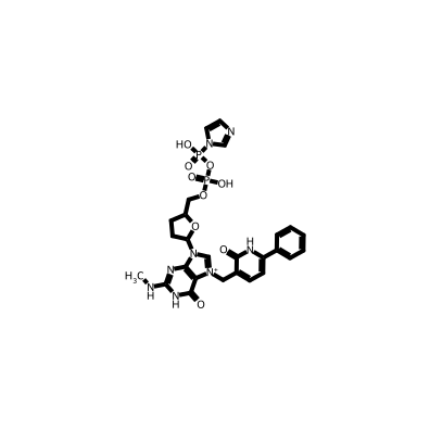 CNc1nc2c(c(=O)[nH]1)[n+](Cc1ccc(-c3ccccc3)[nH]c1=O)cn2C1CCC(COP(=O)(O)OP(=O)(O)n2ccnc2)O1